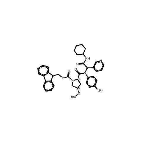 CC(C)(C)O[C@@H]1C[C@H](C(=O)N(c2ccc(C(C)(C)C)cc2)C(C(=O)NC2CCCCC2)c2cccnc2)N(C(=O)OCC2c3ccccc3-c3ccccc32)C1